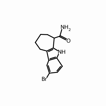 NC(=O)C1CCCCc2c1[nH]c1ccc(Br)cc21